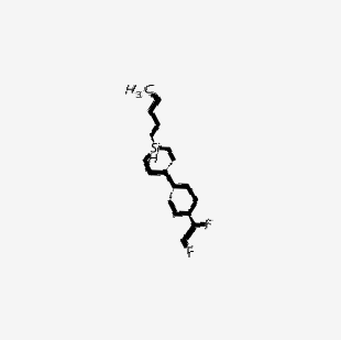 CCCCC[Si@H]1CC[C@H]([C@H]2CC[C@H](C(F)=CF)CC2)CC1